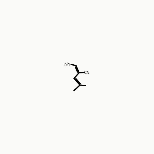 CCCC=C(C#N)C=C(C)C